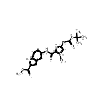 COC(=O)c1cc2cc(NC(=O)c3nc(NC(=O)OC(C)(C)C)cn3C)ccc2s1